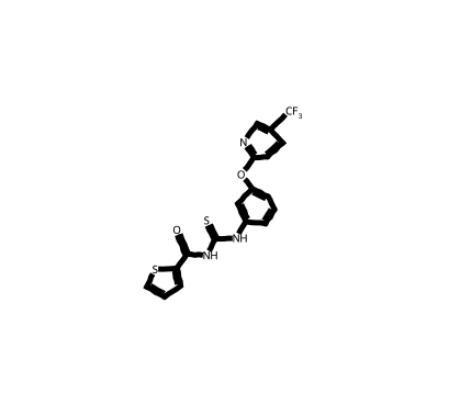 O=C(NC(=S)Nc1cccc(Oc2ccc(C(F)(F)F)cn2)c1)c1cccs1